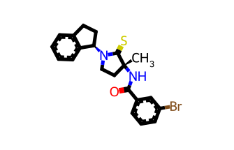 C[C@@]1(NC(=O)c2cccc(Br)c2)CCN([C@@H]2CCc3ccccc32)C1=S